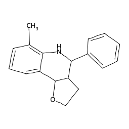 Cc1cccc2c1NC(c1ccccc1)C1CCOC21